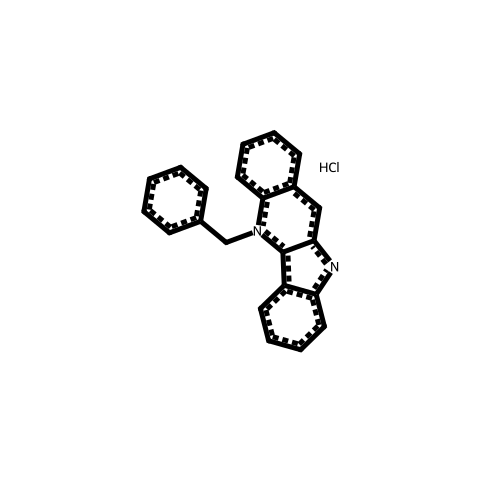 Cl.c1ccc(Cn2c3c4ccccc4nc-3cc3ccccc32)cc1